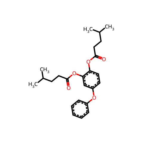 CC(C)CCC(=O)Oc1ccc(Oc2ccccc2)cc1OC(=O)CCC(C)C